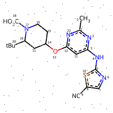 Cc1nc(Nc2ncc(C#N)s2)cc(OC2CCN(C(=O)O)C(C(C)(C)C)C2)n1